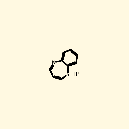 C1=CSc2ccccc2N=C1.[H+]